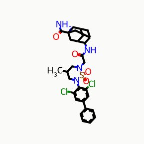 CC1CN(CC(=O)NC2C3CC4CC2CC(C(N)=O)(C4)C3)S(=O)(=O)N(c2c(Cl)cc(-c3ccccc3)cc2Cl)C1